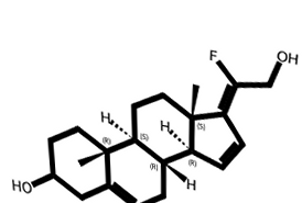 C[C@]12CCC(O)CC1=CC[C@@H]1[C@@H]2CC[C@]2(C)C(=C(F)CO)C=C[C@@H]12